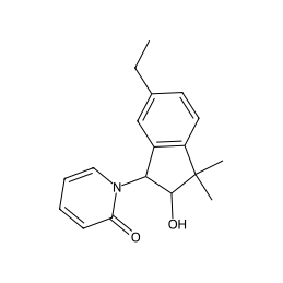 CCc1ccc2c(c1)C(n1ccccc1=O)C(O)C2(C)C